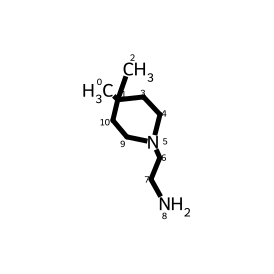 CC1(C)CCN(CCN)CC1